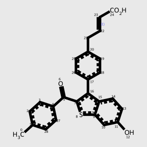 Cc1ccc(C(=O)c2sc3cc(O)ccc3c2-c2ccc(C/C=C/C(=O)O)cc2)cc1